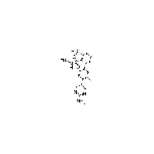 Cc1cccc(-c2ccc(-c3cnc(N)nc3)c(F)c2)c1S(=O)(=O)NC(C)(C)C